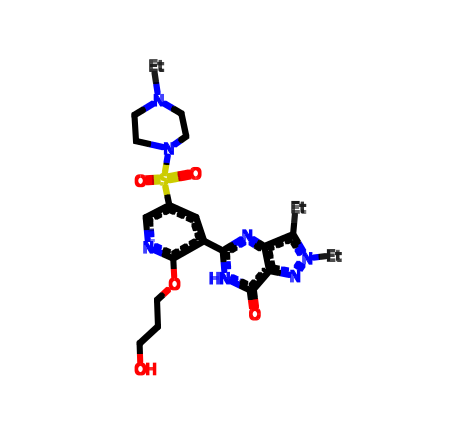 CCc1c2nc(-c3cc(S(=O)(=O)N4CCN(CC)CC4)cnc3OCCCO)[nH]c(=O)c2nn1CC